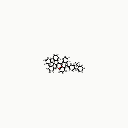 CC1(C)c2ccccc2-c2ccc(N(c3ccccc3)c3ccccc3-c3cccc4c3-c3ccccc3C4(c3ccccc3)c3ccccc3)cc21